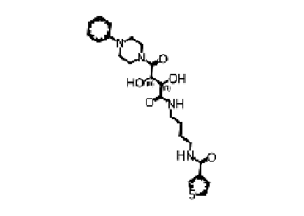 O=C(NCCCCNC(=O)[C@H](O)[C@@H](O)C(=O)N1CCN(c2ccccc2)CC1)c1ccsc1